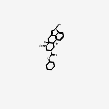 CCN1C[C@H](C(=O)OC2CCCCC2)C[C@@H]2c3cccc4c3c(cn4C(C)C)C[C@H]21